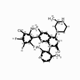 Cc1ccnc(C(C)C)c1-n1c(=O)nc(N2CCN[C@H](C)C2)c2cc(F)c(-c3c(N)c(Cl)c(F)c(F)c3F)nc21